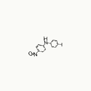 O=Nc1ccc(Nc2ccc(I)cc2)cc1